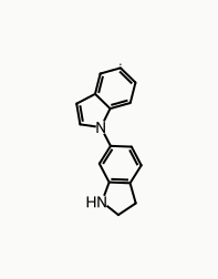 [c]1ccc2c(c1)ccn2-c1ccc2c(c1)NCC2